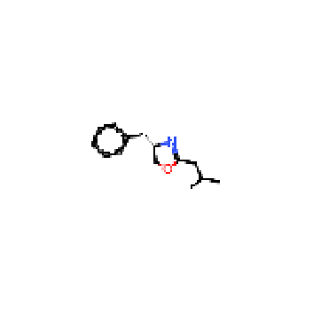 CC(C)CC1=N[C@@H](Cc2ccccc2)CO1